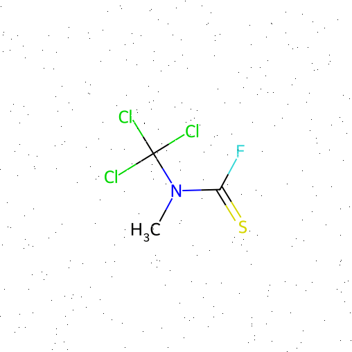 CN(C(F)=S)C(Cl)(Cl)Cl